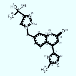 CC[C@](O)(c1cn(Cc2ccc3c(-c4csc(C)n4)cc(=O)oc3c2)nn1)C(F)(F)F